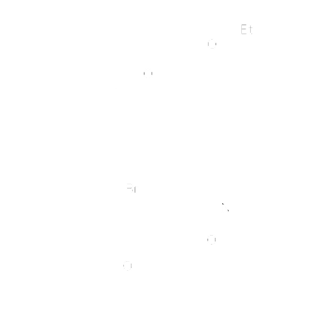 CCOc1ccc(C2=NOC3(CCOC3)C2Br)cc1OC1CCCC1